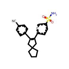 N#Cc1ccc(C2=C(c3ccc(S(N)(=O)=O)cc3)CC3(CCCC3)C2)cc1